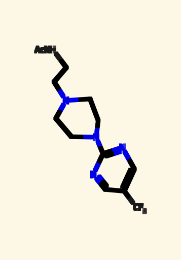 CC(=O)NCCN1CCN(c2ncc(C(F)(F)F)cn2)CC1